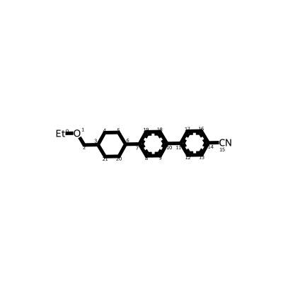 CCOCC1CCC(c2ccc(-c3ccc(C#N)cc3)cc2)CC1